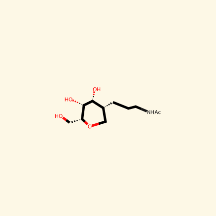 CC(=O)NCCC[C@@H]1CO[C@H](CO)[C@H](O)[C@@H]1O